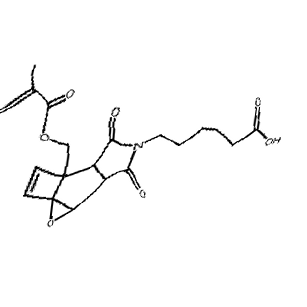 C=C(C)C(=O)OCC12C=CC13OC3C1C(=O)N(CCCCC(=O)O)C(=O)C12